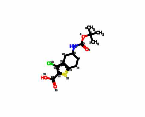 CC(C)(C)OC(=O)NC1CCc2sc(C(=O)O)c(Cl)c2C1